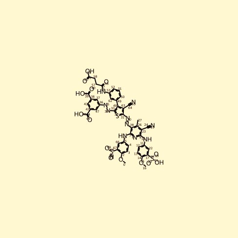 COc1ccc(Nc2nc(Nc3ccc(OC)c(S(=O)(=O)O)c3)c(C#N)c(C)c2N=Nc2sc(N=Nc3cc(C(=O)O)cc(C(=O)O)c3)c(-c3cccc(NC(=O)CCC(=O)O)c3)c2C#N)cc1[SH](=O)=O